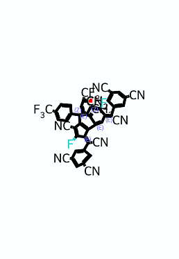 C=C(/C=C\C(=C)C(F)(F)F)\C1=C/C(=C(\C#N)c2cc(C#N)cc(C#N)c2)C(/F)=C(C#N)\C=C(/c2ccc(C(F)(F)F)cc2)C2=C1/C(=C(\C#N)c1cc(C#N)cc(C#N)c1)C(F)=C2C#N